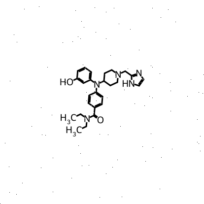 CCN(CC)C(=O)c1ccc(N(c2cccc(O)c2)C2CCN(Cc3ncc[nH]3)CC2)cc1